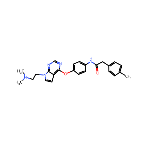 CN(C)CCn1ccc2c(Oc3ccc(NC(=O)Cc4ccc(C(F)(F)F)cc4)cc3)ncnc21